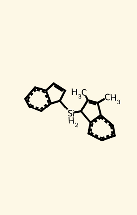 CC1=C(C)C([SiH2]C2C=Cc3ccccc32)c2ccccc21